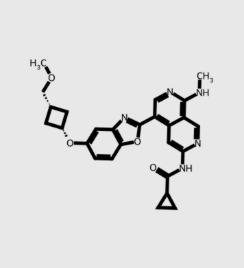 CNc1ncc(-c2nc3cc(O[C@H]4C[C@@H](COC)C4)ccc3o2)c2cc(NC(=O)C3CC3)ncc12